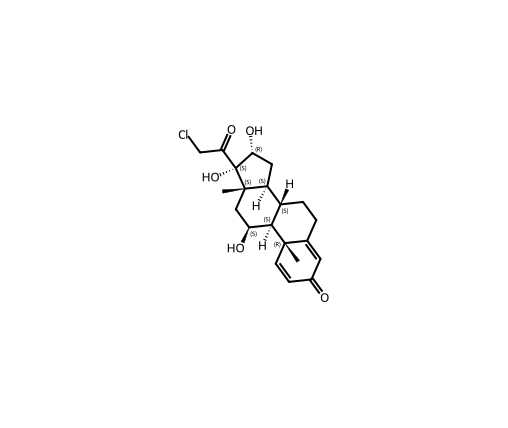 C[C@]12C=CC(=O)C=C1CC[C@@H]1[C@@H]2[C@@H](O)C[C@@]2(C)[C@H]1C[C@@H](O)[C@]2(O)C(=O)CCl